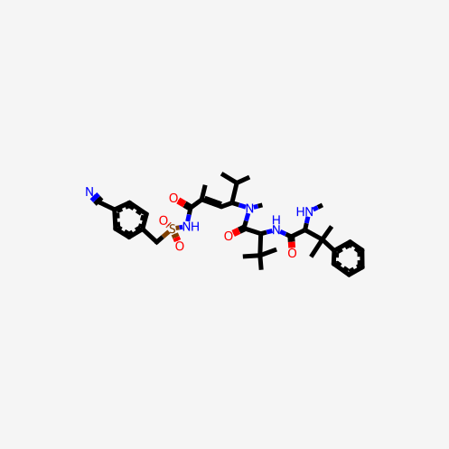 CNC(C(=O)NC(C(=O)N(C)C(C=C(C)C(=O)NS(=O)(=O)Cc1ccc(C#N)cc1)C(C)C)C(C)(C)C)C(C)(C)c1ccccc1